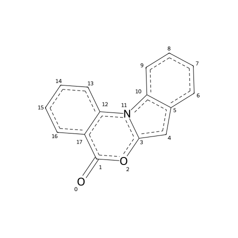 O=c1oc2cc3ccccc3n2c2ccccc12